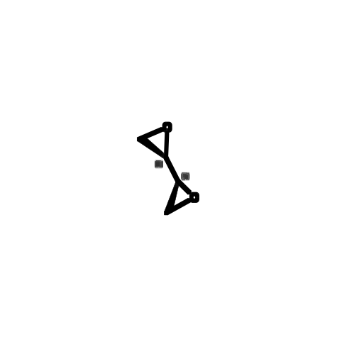 C1O[C@@H]1[C@H]1CO1